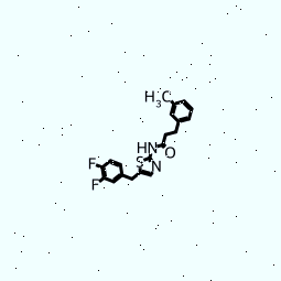 Cc1cccc(CCC(=O)Nc2ncc(Cc3ccc(F)c(F)c3)s2)c1